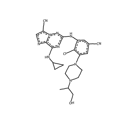 CC(CO)N1CCN(c2cc(C#N)cc(Nc3nc(NC4CC4)c4ncc(C#N)n4n3)c2Cl)CC1